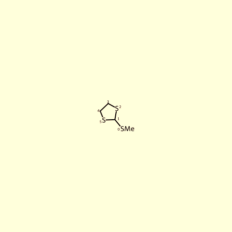 CSC1SCCS1